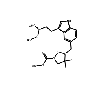 CC(C)(C)OC(=O)N1CC(C)(C)N(Cc2ccc3[nH]cc(CCN(C=O)OC(C)(C)C)c3c2)S1